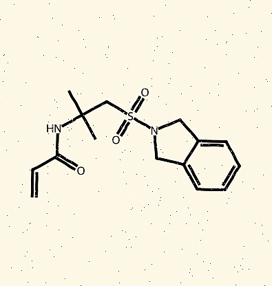 C=CC(=O)NC(C)(C)CS(=O)(=O)N1Cc2ccccc2C1